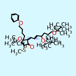 CSC1=CC(CCCCOc2ccccc2)(O[Si](C)(C)C)/C(=C/C=C/C(CCCO[Si](C)(C)C(C)(C)C)O[Si](C)(C)C(C)(C)C)C1=O